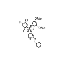 COc1ccc(CN(c2ccnc(OCc3ccccc3)n2)S(=O)(=O)c2cc(Cl)c(F)cc2F)c(OC)c1